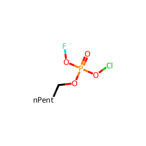 CCCCCCOP(=O)(OF)OCl